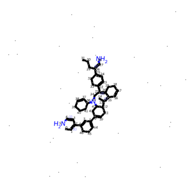 C/C=C(\C=C/N)C1=CC(C2=CCC3/C(C)=C4\C=CCC\C4=C(/C4=CC=C(/C(=C/N)CCC)CC4)CN(C4C=CCCC4)C3C2)=CCC1